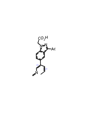 C=N/C=C(\C=C/C)c1ccc2c(c1)c(C(C)=O)nn2CC(=O)O